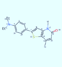 CCN(CC)c1ccc(-c2cc3c(s2)c(C)cc(=O)n3C)cc1